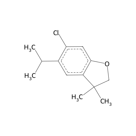 CC(C)c1cc2c(cc1Cl)OCC2(C)C